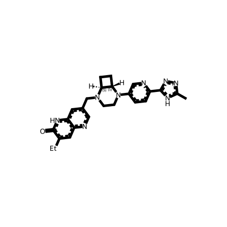 CCc1cc2ncc(CN3CCN(c4ccc(-c5nnc(C)[nH]5)nc4)[C@H]4CC[C@@H]43)cc2[nH]c1=O